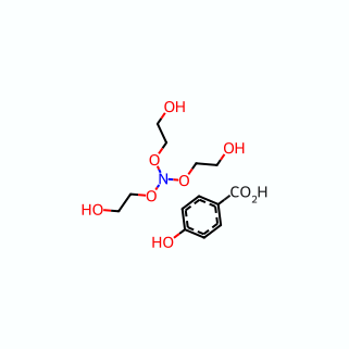 O=C(O)c1ccc(O)cc1.OCCON(OCCO)OCCO